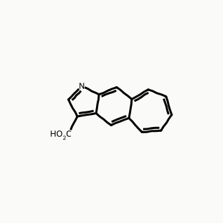 O=C(O)c1cnc2cc3cccccc3cc12